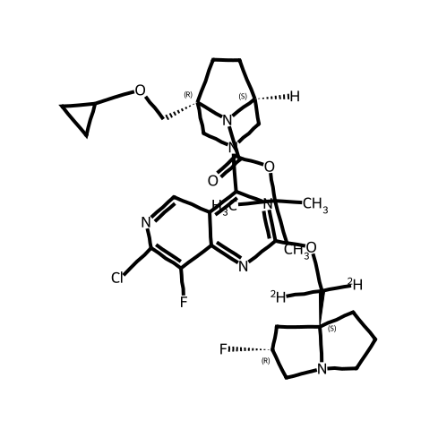 [2H]C([2H])(Oc1nc(N2C[C@@H]3CC[C@](COC4CC4)(C2)N3C(=O)OC(C)(C)C)c2cnc(Cl)c(F)c2n1)[C@@]12CCCN1C[C@H](F)C2